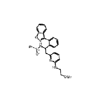 COCCNc1cccc(CC(N[S@@+]([O-])C(C)C)c2ccccc2-c2noc3ccccc23)n1